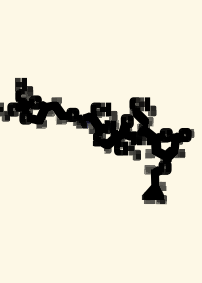 CCC[C@@H](NC(=O)[C@]1(C)CSC(/C(C)=N/OCCC2COC(C)(C)O2)=N1)c1cc(OCC2CC2)cc(=O)o1